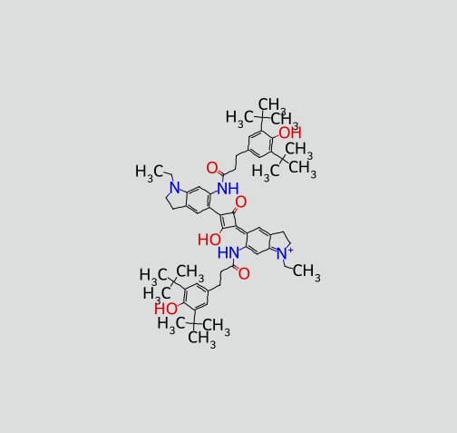 CCN1CCc2cc(C3=C(O)/C(=c4/cc5c(cc4NC(=O)CCc4cc(C(C)(C)C)c(O)c(C(C)(C)C)c4)=[N+](CC)CC5)C3=O)c(NC(=O)CCc3cc(C(C)(C)C)c(O)c(C(C)(C)C)c3)cc21